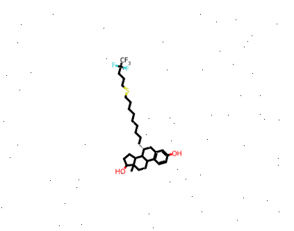 CC12CCC3c4ccc(O)cc4C[C@@H](CCCCCCCCCSCCCC(F)(F)C(F)(F)F)C3C1CCC2O